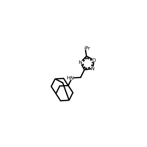 CC(C)c1nc(CNC23CC4CC(CC(C4)C2)C3)no1